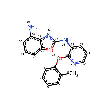 Cc1ccccc1Oc1ncccc1Nc1nc2c(N)cccc2o1